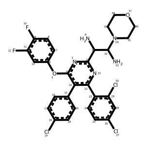 NC(c1nc(Oc2ccc(F)c(F)c2)c(-c2ccc(Cl)cc2)c(-c2ccc(Cl)cc2Cl)n1)C(N)N1CCOCC1